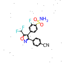 N#Cc1ccc(-c2noc(C(F)F)c2-c2ccc(S(N)(=O)=O)c(F)c2)cc1